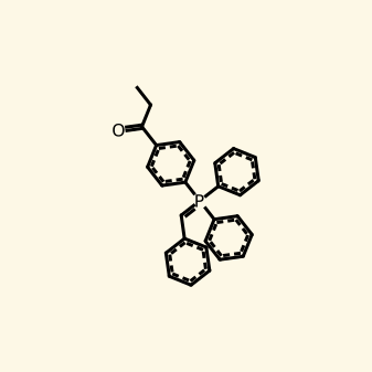 CCC(=O)c1ccc(P(=Cc2ccccc2)(c2ccccc2)c2ccccc2)cc1